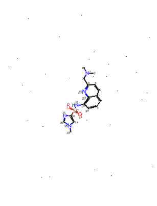 CN(C)Cc1ccc2cccc(NS(=O)(=O)c3cn(C)cn3)c2n1